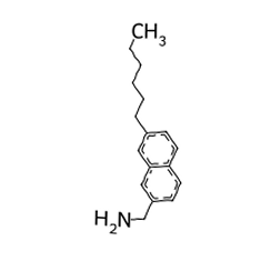 CCCCCCc1ccc2ccc(CN)cc2c1